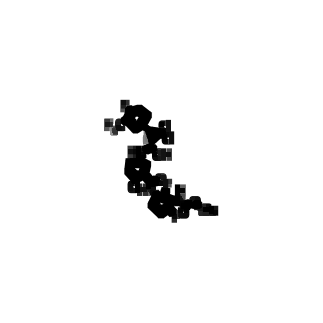 CC(C)(C)OC(=O)Nc1c(F)ccc(NC(=O)c2cc(NC(O)[C@@H]3[C@@H](c4ccc(F)c(C(F)(F)F)c4)C3(Cl)Cl)ccc2Cl)c1F